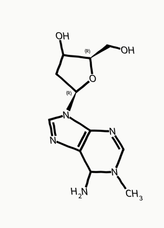 CN1C=Nc2c(ncn2[C@H]2CC(O)[C@@H](CO)O2)C1N